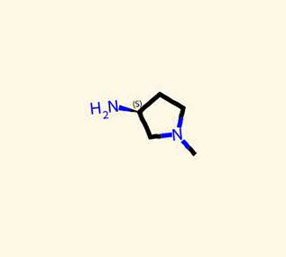 CN1CC[C@H](N)C1